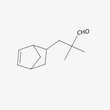 CC(C)(C=O)CC1CC2C=CC1C2